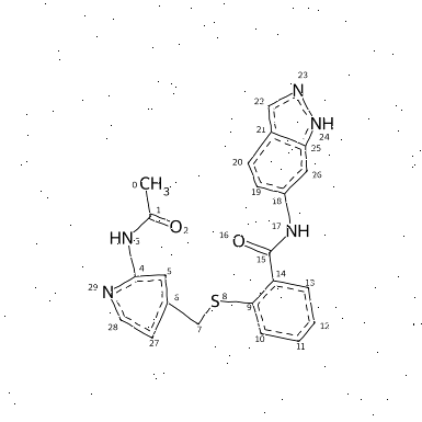 CC(=O)Nc1cc(CSc2ccccc2C(=O)Nc2ccc3cn[nH]c3c2)ccn1